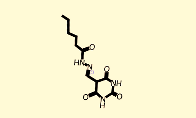 CCCCCC(=O)N/N=C/C1C(=O)NC(=O)NC1=O